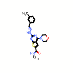 CNC(=O)c1cc2c(N3CCOCC3)nc(N/N=C/c3cccc(C)c3)nc2s1